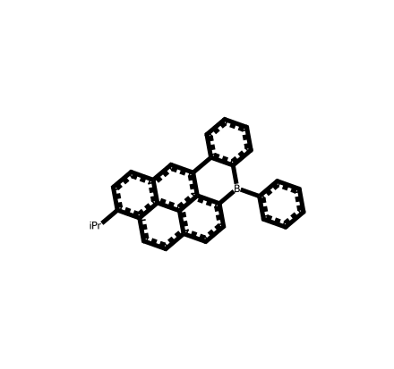 CC(C)c1ccc2cc3c4c(ccc5ccc1c2c54)B(c1ccccc1)c1ccccc1-3